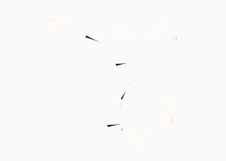 C[C@@H]1CC(=O)[C@]2(CO)[C@H](CCC[C@]23CO3)[C@@]12C[C@@H](c1ccoc1)OC2=O